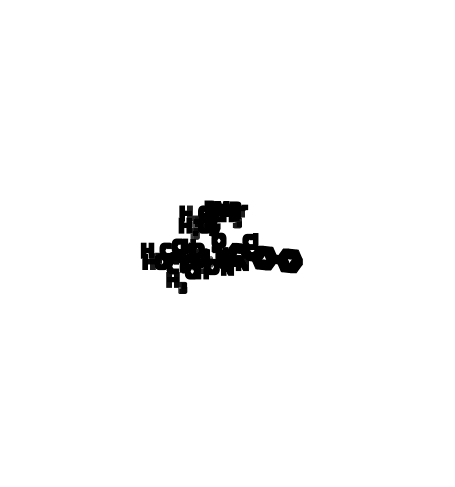 [Br][Mg][Br].[CH2]C(C1CO[C@H]2[C@@H]1OC[C@H]2Oc1nc2nc(-c3ccc(-c4ccccc4)cc3)c(Cl)cc2n1COCC[Si](C)(C)C)C(C)(C)O